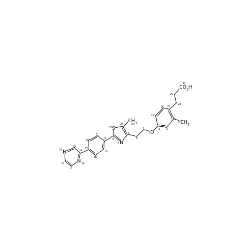 Cc1cc(OCCc2nc(-c3ccc(-c4cnccn4)cc3)sc2C)ccc1CCC(=O)O